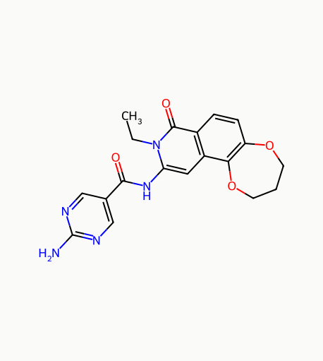 CCn1c(NC(=O)c2cnc(N)nc2)cc2c3c(ccc2c1=O)OCCCO3